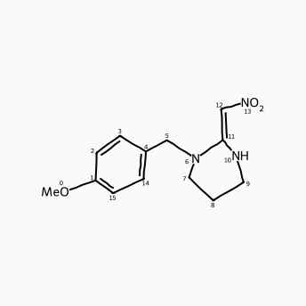 COc1ccc(CN2CCCNC2=C[N+](=O)[O-])cc1